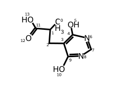 CC(Cc1c(O)ncnc1O)C(=O)O